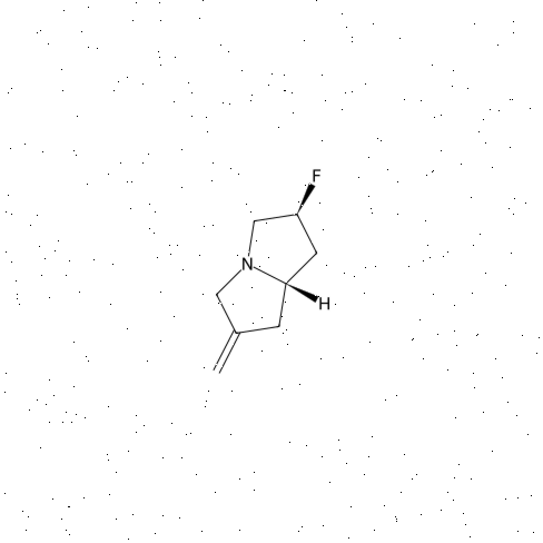 C=C1C[C@H]2C[C@H](F)CN2C1